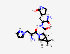 CC1(C)[C@@H]2[C@@H](C(=O)N[C@@H](C[C@@H]3CCNC3=O)C(N)=O)N(C(=O)[C@@H](N)Cn3cccn3)C[C@@H]21